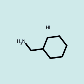 I.NCC1CCCCC1